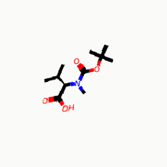 CC(C)[C@H](C(=O)O)N(C)C(=O)OC(C)(C)C